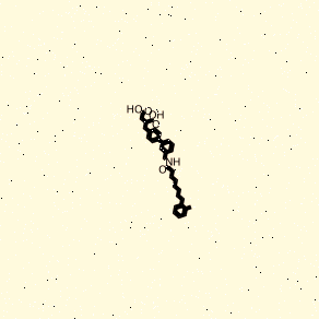 Cc1ccccc1CCCCCCCC(=O)NCc1cccc(-c2ccc(CC(CC(=O)O)C(=O)O)cc2)c1